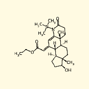 CCOC(=O)C=C1C=C2N([Si](C)(C)C)C(=O)CC[C@]2(C)[C@H]2CC[C@]3(C)[C@@H](O)CC[C@H]3[C@H]12